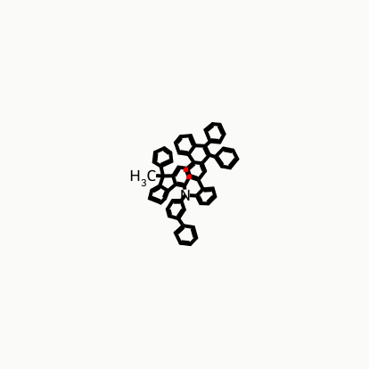 CC1(c2ccccc2)c2ccccc2-c2c(N(c3cccc(-c4ccccc4)c3)c3ccccc3-c3ccc4c(c3)c(-c3ccccc3)c(-c3ccccc3)c3ccccc34)cccc21